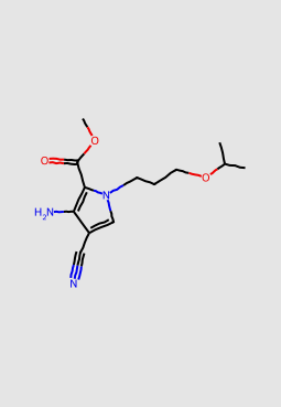 COC(=O)c1c(N)c(C#N)cn1CCCOC(C)C